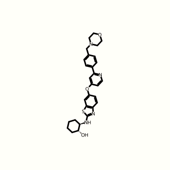 O[C@@H]1CCCC[C@H]1Nc1nc2ccc(Oc3ccnc(-c4ccc(CN5CCOCC5)cc4)c3)cc2s1